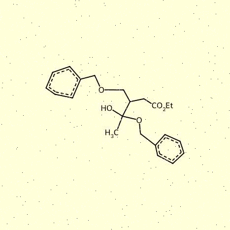 CCOC(=O)CC(COCc1ccccc1)C(C)(O)OCc1ccccc1